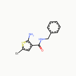 CCc1cc(C(=O)NCc2ccccc2)c(N)s1